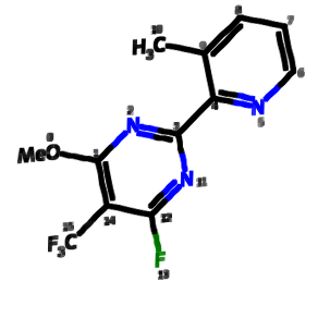 COc1nc(-c2ncccc2C)nc(F)c1C(F)(F)F